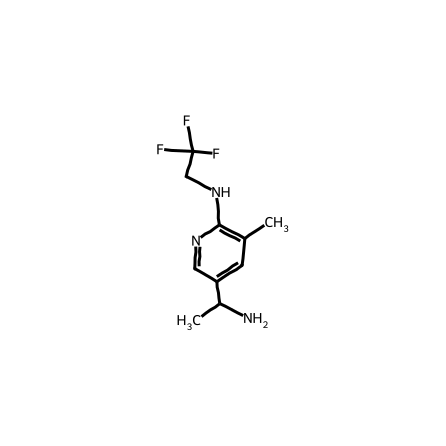 Cc1cc(C(C)N)cnc1NCC(F)(F)F